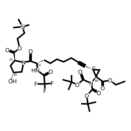 CCOC(=O)[C@@]1(N(C(=O)OC(C)(C)C)C(=O)OC(C)(C)C)C[C@H]1C#CCCCCC[C@H](NC(=O)C(F)(F)F)C(=O)N1C[C@H](O)C[C@H]1C(=O)OCC[Si](C)(C)C